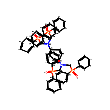 O=P(CN(CP(=O)(c1ccccc1)c1ccccc1)c1ccc(N(CP(=O)(c2ccccc2)c2ccccc2)CP(=O)(c2ccccc2)c2ccccc2)cc1)(c1ccccc1)c1ccccc1